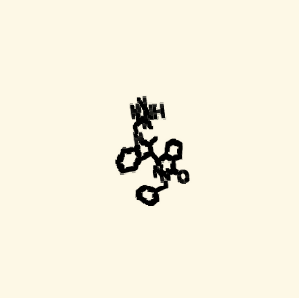 Cc1c(-c2nn(Cc3ccccc3)c(=O)c3ccccc23)c2ccccc2n1Cc1nn[nH]n1